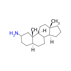 C[C@@]12CCC[C@H]1C1CC[C@H]3CCC(N)C[C@]3(C)[C@H]1CC2